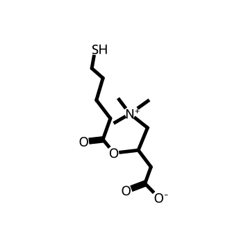 C[N+](C)(C)CC(CC(=O)[O-])OC(=O)CCCCS